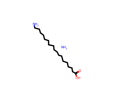 N.NCCCCCCCCCCCCCCCCCC(=O)O